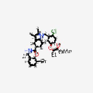 CC[C@H](Oc1ccc(Cl)c(Cn2c(C)c(C)c3cc(C(=O)N[C@@H](C)c4cccc(C(C)C)c4)ccc32)c1)C(=O)OC